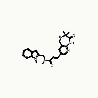 CN(Cc1cc2ccccc2n1C)C(=O)C=Cc1cnc2c(c1)CNC(C)(C)C(=O)N2